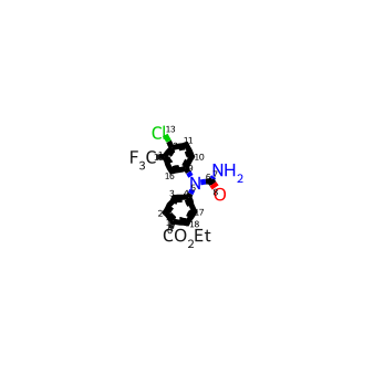 CCOC(=O)c1ccc(N(C(N)=O)c2ccc(Cl)c(C(F)(F)F)c2)cc1